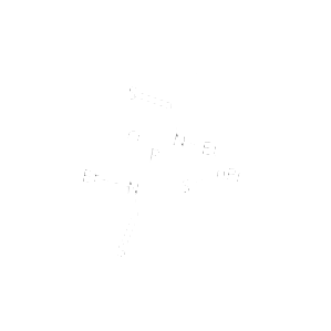 CCCSP(=O)(N(C=S)CC)N(CC)C(C)=S